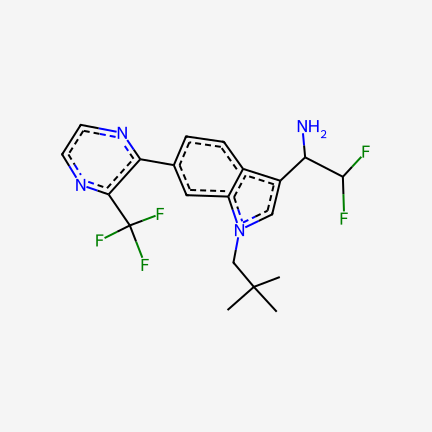 CC(C)(C)Cn1cc(C(N)C(F)F)c2ccc(-c3nccnc3C(F)(F)F)cc21